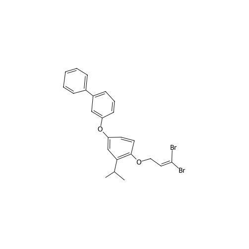 CC(C)c1cc(Oc2cccc(-c3ccccc3)c2)ccc1OCC=C(Br)Br